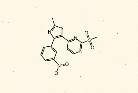 Cc1nc(-c2cccc([N+](=O)[O-])c2)c(-c2ccnc(S(C)(=O)=O)n2)s1